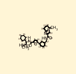 CNC(=O)[C@@H](NC(=O)c1ccc(-c2cccc(CNC(=O)c3cn4c(C)cccc4n3)c2)o1)C1CCCCC1